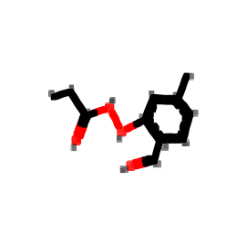 CCC(=O)OOc1cc(C)ccc1C=O